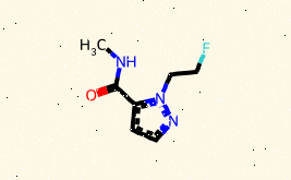 CNC(=O)c1ccnn1CCF